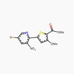 COC(=O)c1sc(-c2ncc(Br)cc2[N+](=O)[O-])cc1OC